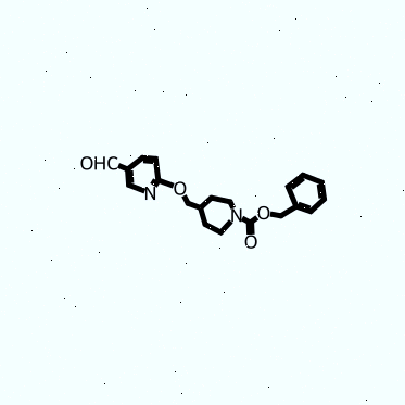 O=Cc1ccc(OCC2CCN(C(=O)OCc3ccccc3)CC2)nc1